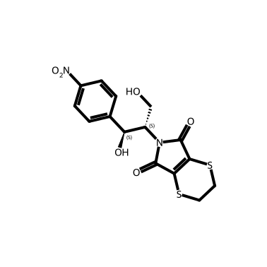 O=C1C2=C(SCCS2)C(=O)N1[C@@H](CO)[C@@H](O)c1ccc([N+](=O)[O-])cc1